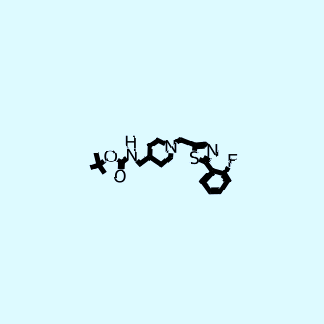 CC(C)(C)OC(=O)NCC1CCN(Cc2cnc(-c3ccccc3F)s2)CC1